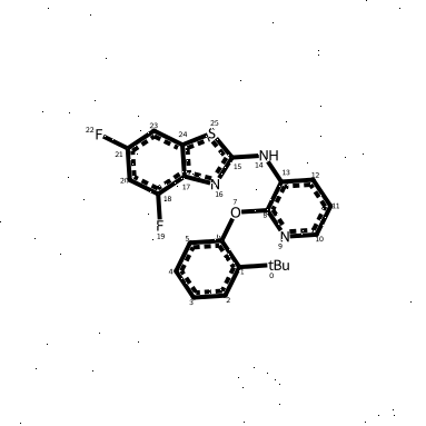 CC(C)(C)c1ccccc1Oc1ncccc1Nc1nc2c(F)cc(F)cc2s1